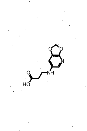 O=C(O)CCNc1cnc2c(c1)OCO2